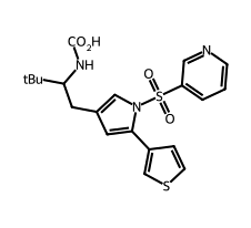 CC(C)(C)C(Cc1cc(-c2ccsc2)n(S(=O)(=O)c2cccnc2)c1)NC(=O)O